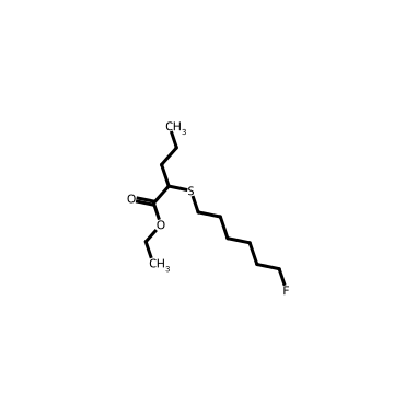 CCCC(SCCCCCCF)C(=O)OCC